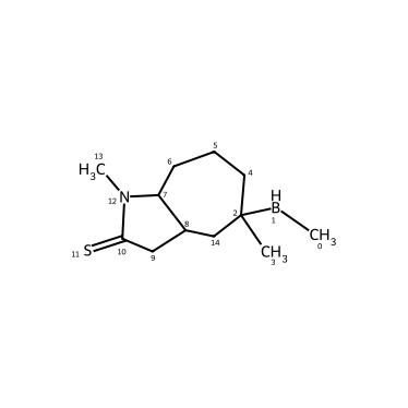 CBC1(C)CCCC2C(CC(=S)N2C)C1